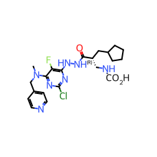 CN(Cc1ccncc1)c1nc(Cl)nc(NNC(=O)[C@@H](CNC(=O)O)CC2CCCC2)c1F